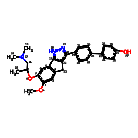 COc1cc2c(cc1OC(C)CN(C)C)-c1[nH]nc(-c3ccc(-c4ccc(O)cc4)cc3)c1C2